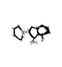 N[C@@H]1c2c(F)cccc2C[C@H]1N1CCCC1